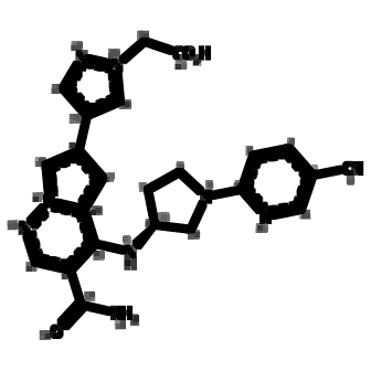 N#Cc1ccc(N2CC[C@H](Nc3c(C(N)=O)cnn4cc(-c5cnn(CC(=O)O)c5)cc34)C2)nc1